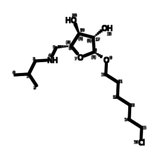 CC(C)CNC[C@H]1O[C@@H](OCCCCCCCl)[C@@H](O)[C@@H]1O